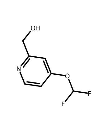 OCc1cc(OC(F)F)ccn1